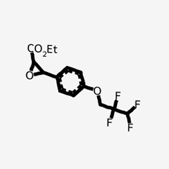 CCOC(=O)C1OC1c1ccc(OCC(F)(F)C(F)F)cc1